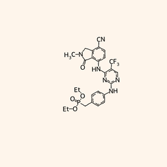 CCOP(=O)(Cc1ccc(Nc2ncc(C(F)(F)F)c(Nc3ccc(C#N)c4c3C(=O)N(C)C4)n2)cc1)OCC